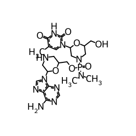 Cc1cn(C2CN([P@@](=O)(OCC3CNCC(n4cnc5c(N)ncnc54)O3)N(C)C)CC(CO)O2)c(=O)[nH]c1=O